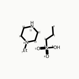 CCCS(=O)(=O)O.CCN1CCNCC1